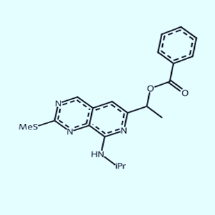 CSc1ncc2cc(C(C)OC(=O)c3ccccc3)nc(NC(C)C)c2n1